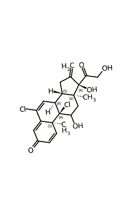 C=C1C[C@H]2[C@@H]3C=C(Cl)C4=CC(=O)C=C[C@]4(C)[C@@]3(Cl)C(O)C[C@]2(C)[C@@]1(O)C(=O)CO